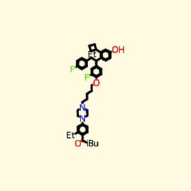 CCc1cc(N2CCN(CCCCCOc3ccc(C(c4ccc(O)cc4C4CCC4)C(CC)c4ccc(F)cc4)cc3F)CC2)ccc1C(=O)C(C)CC